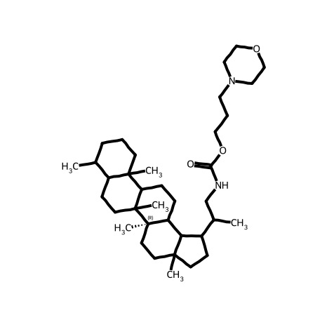 CC(CNC(=O)OCCCN1CCOCC1)C1CCC2(C)CC[C@]3(C)C(CCC4C5(C)CCCC(C)C5CCC43C)C12